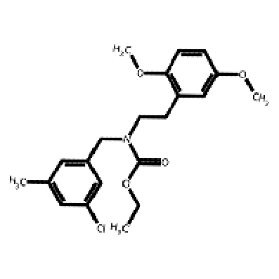 CCOC(=O)N(CCc1cc(OC)ccc1OC)Cc1cc(C)cc(Cl)c1